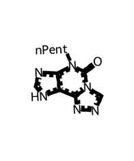 CCCCCn1c(=O)n2cnnc2c2[nH]cnc21